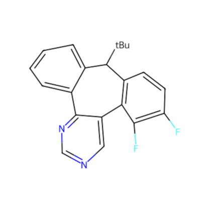 CC(C)(C)C1c2ccccc2-c2ncncc2-c2c1ccc(F)c2F